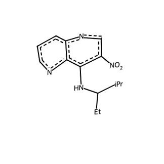 CCC(Nc1c([N+](=O)[O-])cnc2cccnc12)C(C)C